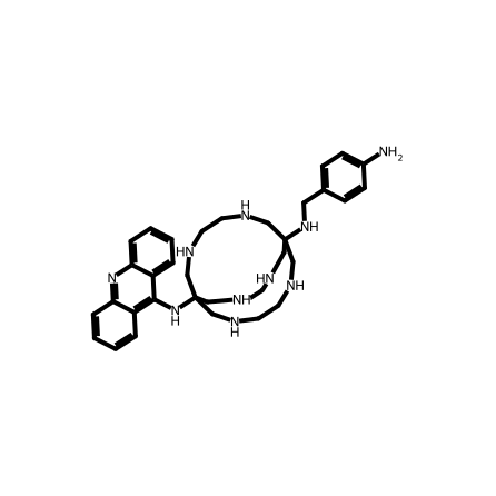 Nc1ccc(CNC23CNCCNCC(Nc4c5ccccc5nc5ccccc45)(CNCCNC2)CNCCNC3)cc1